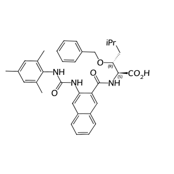 Cc1cc(C)c(NC(=O)Nc2cc3ccccc3cc2C(=O)N[C@H](C(=O)O)[C@@H](CC(C)C)OCc2ccccc2)c(C)c1